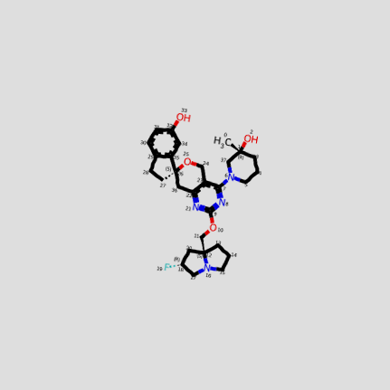 C[C@@]1(O)CCCN(c2nc(OC[C@@]34CCCN3C[C@H](F)C4)nc3c2CO[C@@]2(CCc4ccc(O)cc42)C3)C1